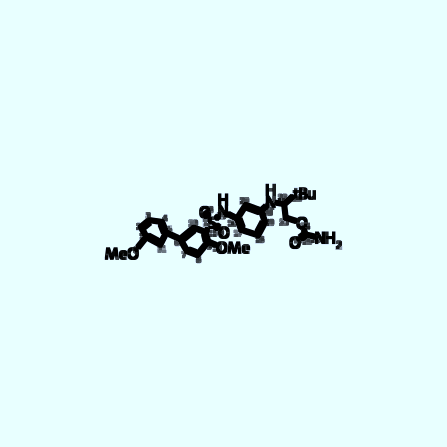 COc1cccc(-c2ccc(OC)c(S(=O)(=O)Nc3cccc(NC(COC(N)=O)C(C)(C)C)c3)c2)c1